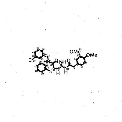 COc1ccc(CC(=O)NC(=N)N[C@H](Cc2ccccc2)C(=O)NCc2cccc(Cl)c2)cc1OC